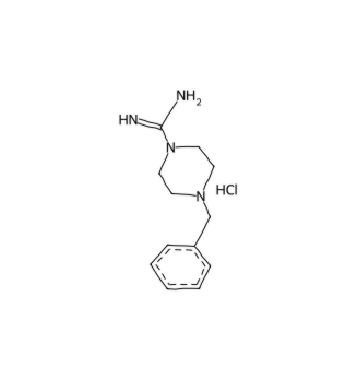 Cl.N=C(N)N1CCN(Cc2ccccc2)CC1